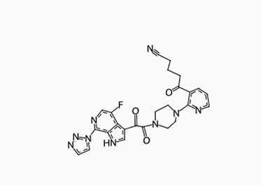 N#CCCCC(=O)c1cccnc1N1CCN(C(=O)C(=O)c2c[nH]c3c(-n4ccnn4)ncc(F)c23)CC1